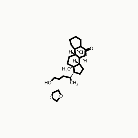 C1COCO1.CC(CCCO)[C@H]1CC[C@H]2[C@@H]3CC(=O)C4CCCC[C@]4(C)[C@H]3CC[C@]12C